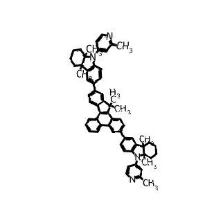 Cc1cc(N2c3ccc(-c4ccc5c(c4)C(C)(C)c4c-5c5ccccc5c5cc(-c6ccc7c(c6)C6(C)CCCCC6(C)N7c6ccnc(C)c6)ccc45)cc3C3(C)CCCCC23C)ccn1